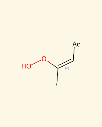 CC(=O)/C=C(/C)OO